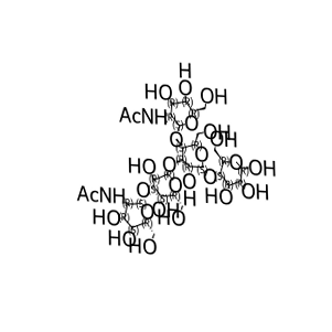 CC(=O)N[C@H]1[C@H](O[C@@H]2[C@H](O[C@H]3O[C@H](CO)[C@H](O)[C@H](O[C@@H]4O[C@H](CO)[C@@H](O)[C@H](O)[C@H]4NC(C)=O)[C@H]3O)[C@@H](O)[C@H](O[C@H]3[C@H](O)[C@@H](O)[C@H](O)O[C@@H]3CO)O[C@@H]2CO)O[C@H](CO)[C@H](O)[C@@H]1O